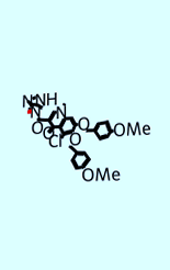 COc1ccc(COc2cc3c(c(Cl)c2OCc2ccc(OC)cc2)c(=O)c(C(=O)N2CCN4CCC2NC4)cn3C)cc1